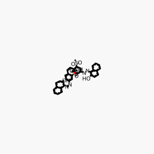 CS(=O)(=O)c1cc(/N=N/c2c(O)ccc3ccccc23)ccc1/C=C\c1ccc(/N=N\c2c(O)ccc3ccccc23)cc1S(=O)(=O)O